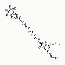 CCCC(=O)N[C@@H](CCCCN=[N+]=[N-])C(=O)NCCOCCOCCOCCOCCC(=O)Oc1c(F)c(F)c(F)c(F)c1F